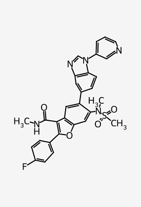 CNC(=O)c1c(-c2ccc(F)cc2)oc2cc(N(C)S(C)(=O)=O)c(-c3ccc4c(c3)ncn4-c3cccnc3)cc12